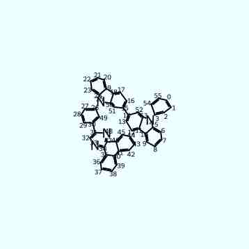 c1ccc(-n2c3ccccc3c3ccc(-c4ccc5c6ccccc6n(-c6cccc(-c7cnc8c9ccccc9c9ccccc9c8n7)c6)c5c4)cc32)cc1